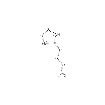 NCCCC1NCCN1